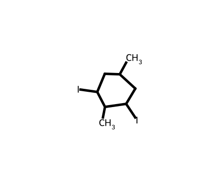 CC1CC(I)C(C)C(I)C1